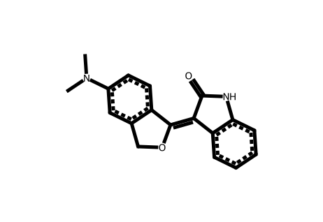 CN(C)c1ccc2c(c1)CO/C2=C1/C(=O)Nc2ccccc21